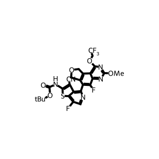 COc1nc(OCC(F)(F)F)c2c3c(c(-c4ncc(F)c5sc(NC(=O)OC(C)(C)C)c(C#N)c45)c(F)c2n1)COC3